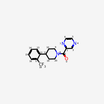 O=C(c1cnccn1)N1CCC(c2ccccc2C(F)(F)F)CC1